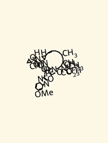 COc1ccc2nc(C(C)C)c(O[C@@H]3C[C@H]4C(=O)N[C@]5(C(=O)NS(=O)(=O)C6(C)CC6)C[C@H]5C=CCC[C@@H](C)C[C@@H](C)[C@H](N(C(=O)O)C(C)(C)C(F)(F)F)C(=O)N4C3)nc2c1